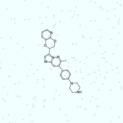 Cc1nn2c(C3COc4ncccc4O3)cnc2cc1-c1ccc(N2CCNCC2)cc1